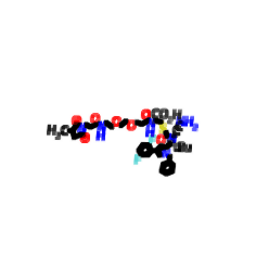 CC1CC(=O)N(CCC(=O)NCCOCCOCCC(=O)N[C@@H](CSCC(=O)N(CCCN)[C@@H](c2cc(-c3cc(F)ccc3F)cn2Cc2ccccc2)C(C)(C)C)C(=O)O)C1=O